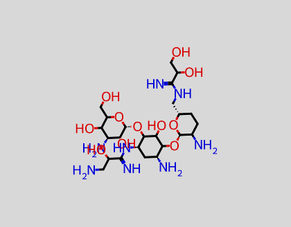 N=C(NC[C@@H]1CCC(N)[C@@H](OC2C(O)C(O[C@H]3OC(CO)C(O)[C@H](N)C3O)[C@H](NC(=N)C(O)CN)C[C@@H]2N)O1)C(O)CO